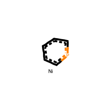 [Ni].c1ccpcc1